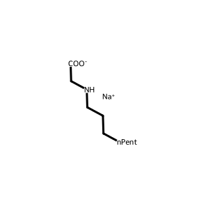 CCCCCCCCNCC(=O)[O-].[Na+]